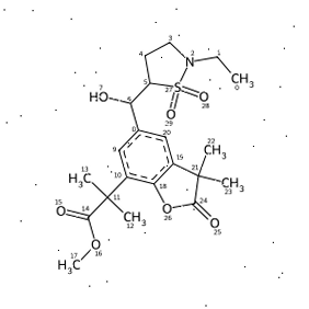 CCN1CCC(C(O)c2cc(C(C)(C)C(=O)OC)c3c(c2)C(C)(C)C(=O)O3)S1(=O)=O